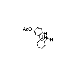 CC(=O)Oc1ccc2c(c1)[C@@]13CCC=C[C@H]1[C@@H](C2)NCC3